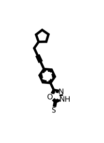 S=c1[nH]nc(-c2ccc(C#CCC3CCCC3)cc2)o1